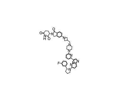 O=C1CCC(N2Cc3cc(N4CC(CN5CCN(c6cccc(-c7cnc8ccc(N9CCCC9c9cccc(F)c9)nn78)n6)CC5)C4)ccc3C2=O)C(=O)N1